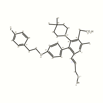 Cc1nc(/C=C/COC(C)C)c(-c2ccc(OCCc3ccc(F)cc3)cc2)c(N2CCC(C)(C)CC2)c1CC(=O)O